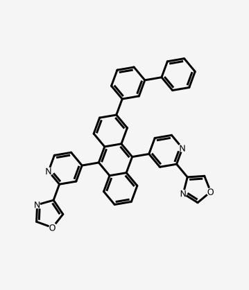 c1ccc(-c2cccc(-c3ccc4c(-c5ccnc(-c6cocn6)c5)c5ccccc5c(-c5ccnc(-c6cocn6)c5)c4c3)c2)cc1